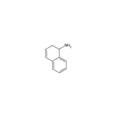 N[C]1CC=Cc2ccccc21